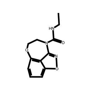 CCNC(=O)N1CCOc2cccc3onc1c23